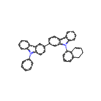 C1=Cc2c(cccc2-n2c3ccccc3c3ccc(-c4ccc5c(c4)c4ccccc4n5-c4ccccc4)cc32)CC1